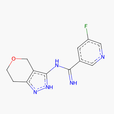 N=C(Nc1[nH]nc2c1COCC2)c1cncc(F)c1